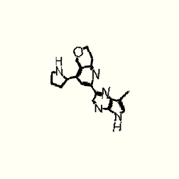 Cc1c[nH]c2ncc(-c3cc(C4CCCN4)c4c(n3)CCOC4)nc12